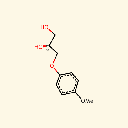 COc1ccc(OC[C@@H](O)CO)cc1